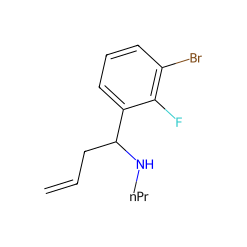 C=CCC(NCCC)c1cccc(Br)c1F